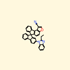 CCc1nc2ccccc2n1-c1ccc2c(c1)C1(c3ccccc3-2)c2ccccc2-c2c1ccc1occ(C#N)c21